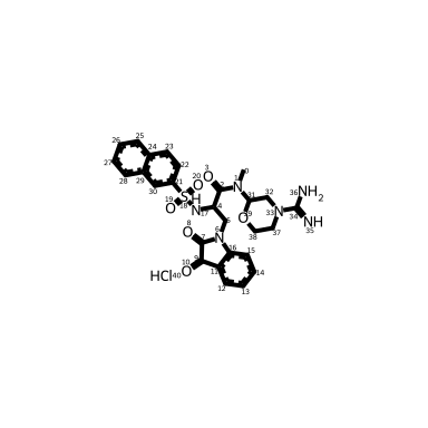 CN(C(=O)C(CN1C(=O)C(=O)c2ccccc21)NS(=O)(=O)c1ccc2ccccc2c1)C1CN(C(=N)N)CCO1.Cl